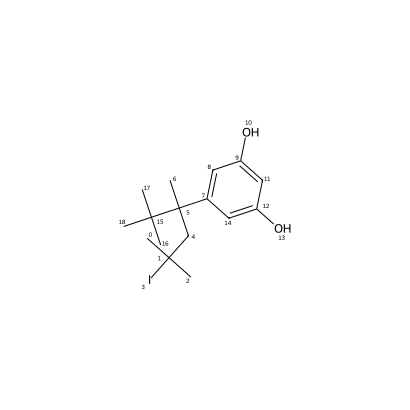 CC(C)(I)CC(C)(c1cc(O)cc(O)c1)C(C)(C)C